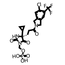 O=C(CC[C@@]1(C2CC2)NC(=O)N(COP(=O)(O)O)C1=O)N1Cc2cc(Cl)c(C(F)(F)F)cc2C1